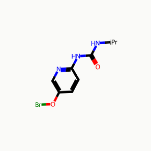 CC(C)NC(=O)Nc1ccc(OBr)cn1